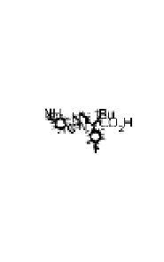 CC(C)(C)C(C(=O)O)C(c1ccc(F)cc1)c1ccnc(Oc2ccc(CN)cc2)n1